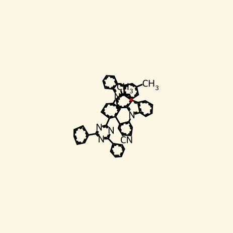 Cc1ccc2c(c1)c1ccccc1n2-c1ccc(-c2nc(-c3ccccc3)nc(-c3ccccc3)n2)c(-c2cc(C#N)ccc2-n2c3ccccc3c3cc(C)ccc32)c1